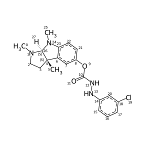 CN1CC[C@@]2(C)c3cc(OC(=O)NNc4cccc(Cl)c4)ccc3N(C)[C@H]12